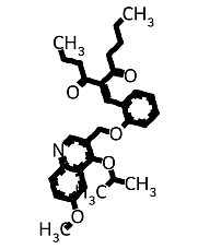 CCCCC(=O)C(=Cc1ccccc1OCc1cnc2ccc(OC)cc2c1OC(C)C)C(=O)CCC